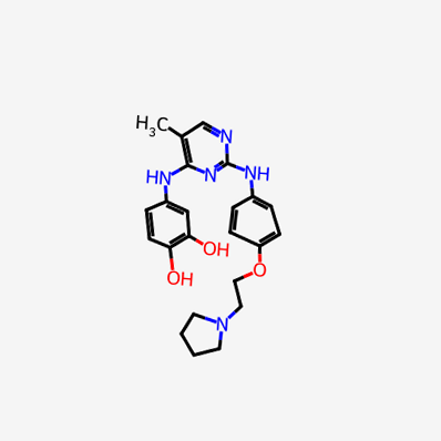 Cc1cnc(Nc2ccc(OCCN3CCCC3)cc2)nc1Nc1ccc(O)c(O)c1